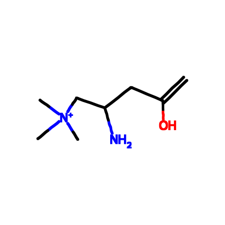 C=C(O)CC(N)C[N+](C)(C)C